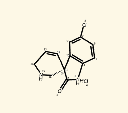 Cl.O=C1Nc2ccc(Cl)cc2[C@]12C=CCNC2